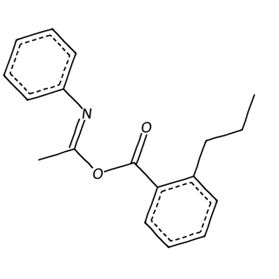 CCCc1ccccc1C(=O)OC(C)=Nc1ccccc1